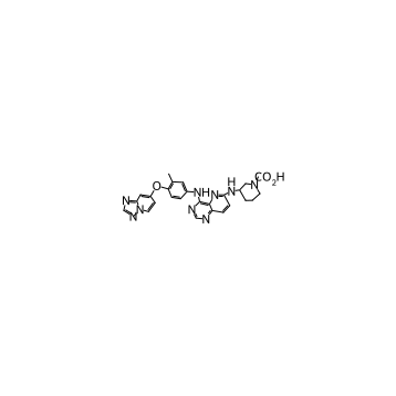 Cc1cc(Nc2ncnc3ccc(NC4CCCN(C(=O)O)C4)nc23)ccc1Oc1ccn2ncnc2c1